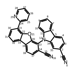 N#Cc1ccc2c3ccccc3n(-c3c(C#N)ccc4c3oc3c(-c5ccccn5)cccc34)c2c1